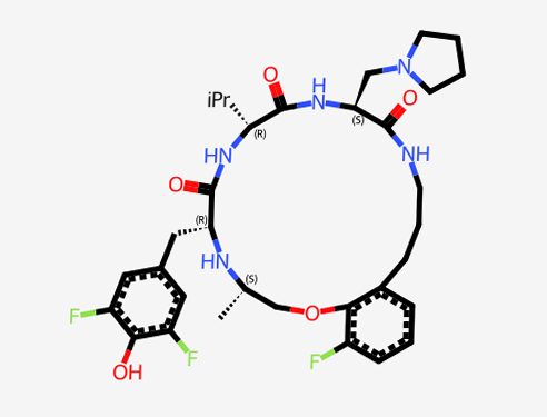 CC(C)[C@H]1NC(=O)[C@@H](Cc2cc(F)c(O)c(F)c2)N[C@@H](C)COc2c(F)cccc2CCCNC(=O)[C@H](CN2CCCC2)NC1=O